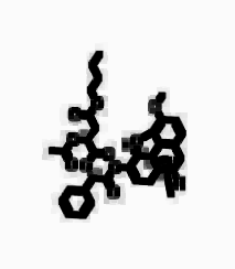 CCCCOC(=O)C[C@H](OC(C)=O)C(=O)O[C@H](C(=O)OC1=CC[C@@]2(O)[C@H]3Cc4ccc(OC)c5c4[C@@]2(CCN3C)[C@H]1O5)c1ccccc1